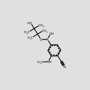 CNc1cc(B(O)OC(C)(C)C(C)(C)O)ccc1C#N